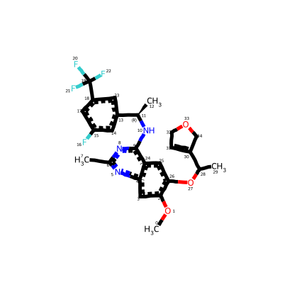 COc1cc2nc(C)nc(N[C@H](C)c3cc(F)cc(C(F)(F)F)c3)c2cc1OC(C)C1=CCOC1